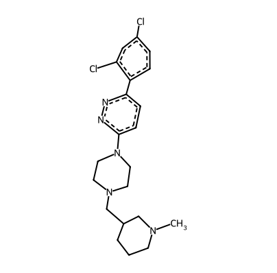 CN1CCCC(CN2CCN(c3ccc(-c4ccc(Cl)cc4Cl)nn3)CC2)C1